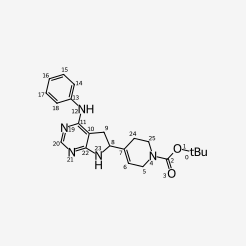 CC(C)(C)OC(=O)N1CC=C(C2Cc3c(Nc4ccccc4)ncnc3N2)CC1